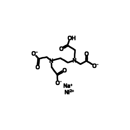 O=C([O-])CN(CCN(CC(=O)[O-])CC(=O)O)CC(=O)[O-].[Na+].[Ni+2]